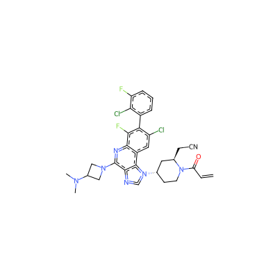 C=CC(=O)N1CC[C@H](n2cnc3c(N4CC(N(C)C)C4)nc4c(F)c(-c5cccc(F)c5Cl)c(Cl)cc4c32)C[C@H]1CC#N